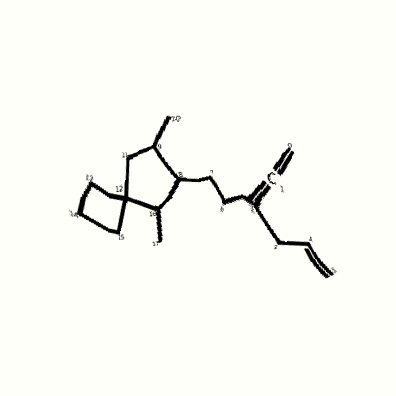 C=C=C(CC=C)CCC1C(C)CC2(CCC2)C1C